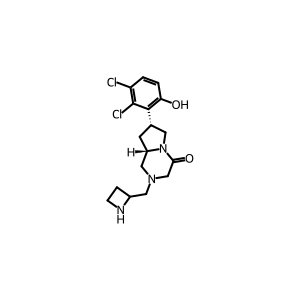 O=C1CN(CC2CCN2)C[C@@H]2C[C@H](c3c(O)ccc(Cl)c3Cl)CN12